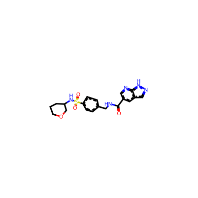 O=C(NCc1ccc(S(=O)(=O)NC2CCCOC2)cc1)c1cnc2[nH]ncc2c1